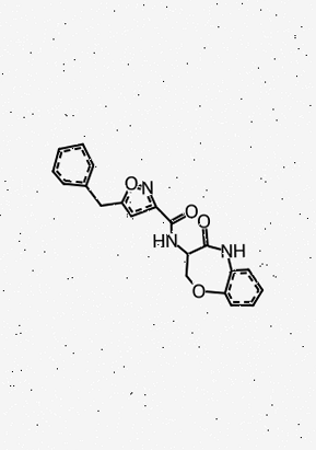 O=C(NC1COc2ccccc2NC1=O)c1cc(Cc2ccccc2)on1